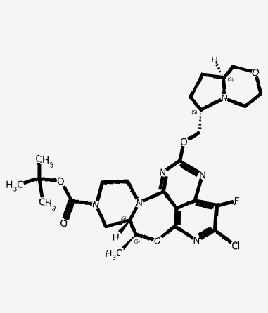 C[C@@H]1Oc2nc(Cl)c(F)c3nc(OC[C@@H]4CC[C@H]5COCCN54)nc(c23)N2CCN(C(=O)OC(C)(C)C)C[C@@H]12